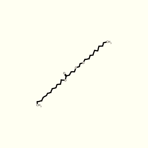 CCCCCCCCCCCCOC(=O)CCCOCCOCCCCCCCCCC